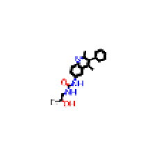 CCC(O)CNC(=O)Nc1ccc2nc(C)c(-c3ccccc3)c(C)c2c1